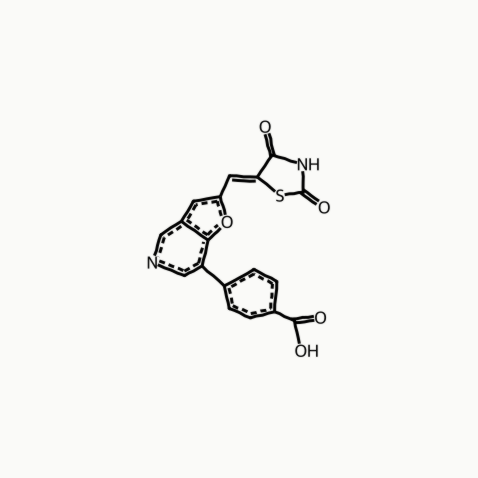 O=C1NC(=O)C(=Cc2cc3cncc(-c4ccc(C(=O)O)cc4)c3o2)S1